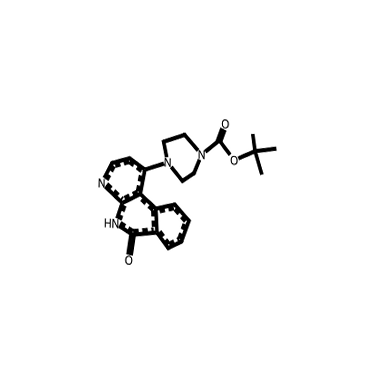 CC(C)(C)OC(=O)N1CCN(c2ccnc3[nH]c(=O)c4ccccc4c23)CC1